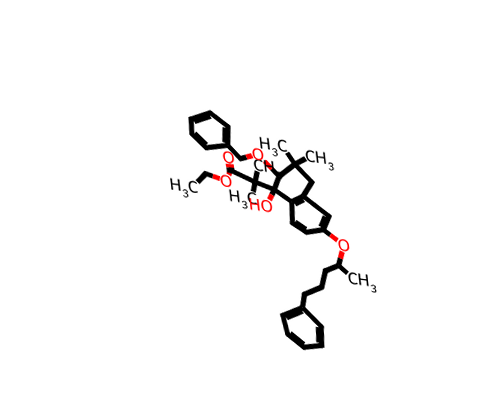 CCOC(=O)C(C)(C)C1(O)c2ccc(OC(C)CCCc3ccccc3)cc2CC(C)(C)C1OCc1ccccc1